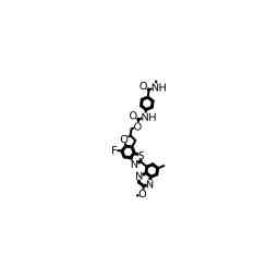 CNC(=O)c1ccc(NC(=O)OCC2Cc3c(c(F)cc4nc(-c5cc(C)cc6nc(OC)cnc56)sc34)O2)cc1